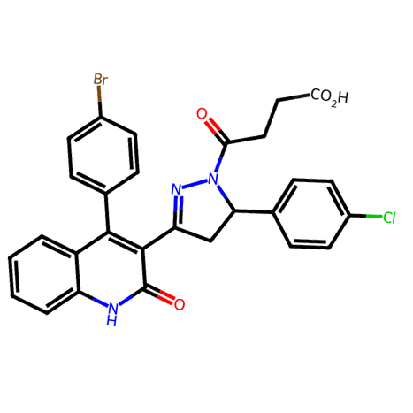 O=C(O)CCC(=O)N1N=C(c2c(-c3ccc(Br)cc3)c3ccccc3[nH]c2=O)CC1c1ccc(Cl)cc1